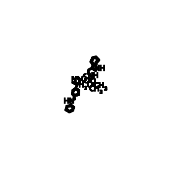 CC(C)(C)OC(=O)N[C@H](COc1cncc(-c2ccc(CNc3ccccc3)cc2)c1)Cc1c[nH]c2ccccc12